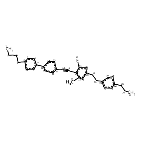 CCCCc1ccc(-c2ccc(C#Cc3c(C)cc(CCc4ccc(CCC)cc4)cc3F)cc2)cc1